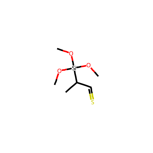 CO[Si](OC)(OC)C(C)C=S